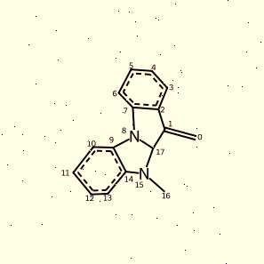 C=C1c2ccccc2N2c3ccccc3N(C)C12